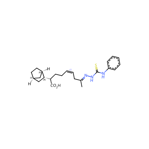 CC(C/C=C\CCC(C(=O)O)[C@@H]1C[C@H]2CC[C@@H]1C2)=NNC(=S)Nc1ccccc1